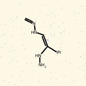 C=NN/C=C(\NN)C(C)C